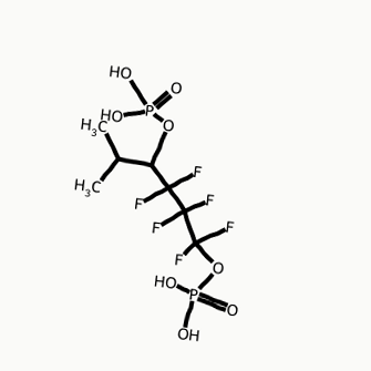 CC(C)C(OP(=O)(O)O)C(F)(F)C(F)(F)C(F)(F)OP(=O)(O)O